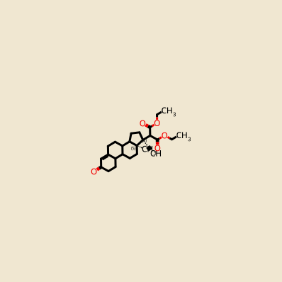 C#C[C@@]1(C(C(=O)OCC)C(=O)OCC)CCC2C3CCC4=CC(=O)CCC4C3CC[C@@]21C